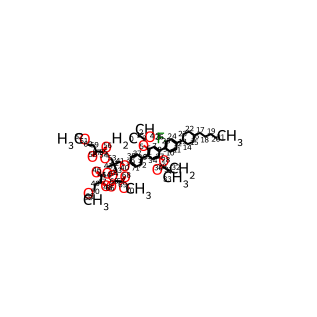 C=C(C)C(=O)Oc1cc(-c2ccc(C3CCC(CCCCC)CC3)cc2F)c(OC(=O)C(=C)C)cc1-c1ccc(OCC(COC(=O)C(=O)CCOC)(COC(=O)C(=O)CCOC)COC(=O)C(=O)OC)cc1